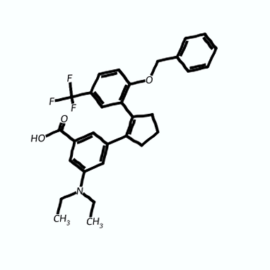 CCN(CC)c1cc(C(=O)O)cc(C2=C(c3cc(C(F)(F)F)ccc3OCc3ccccc3)CCC2)c1